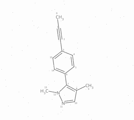 CC#Cc1ccc(-c2c(C)cnn2C)cc1